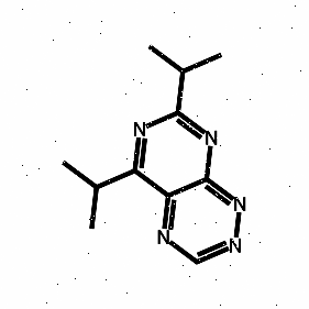 CC(C)c1nc(C(C)C)c2ncnnc2n1